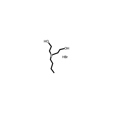 Br.CCCCN(CCO)CCO